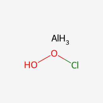 OOCl.[AlH3]